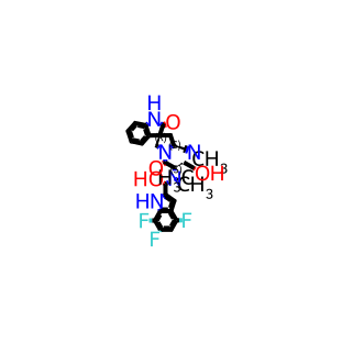 CN(C(O)c1cc2c(F)cc(F)c(F)c2[nH]1)[C@@H](CC(C)(C)O)C(=O)N1C[C@]2(C[C@H]1C#N)C(=O)Nc1ccccc12